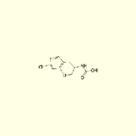 O=C(O)NC1COc2cc(Cl)ccc2C1